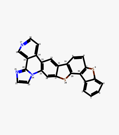 c1ccc2c(c1)sc1ccc3c4cc5c6ccncc6c6nccn6c5cc4sc3c12